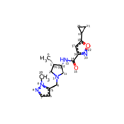 C[C@H]1CN(Cc2ccnn2C)C[C@H]1NC(=O)c1cc(C2CC2)on1